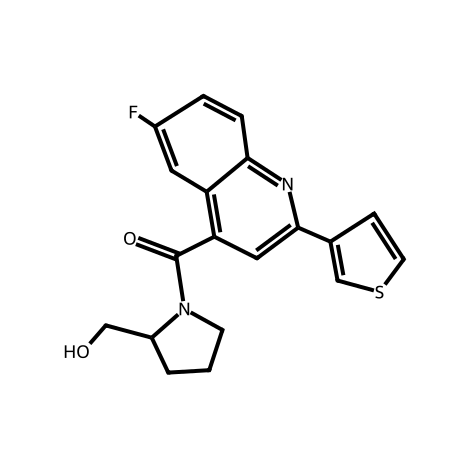 O=C(c1cc(-c2ccsc2)nc2ccc(F)cc12)N1CCCC1CO